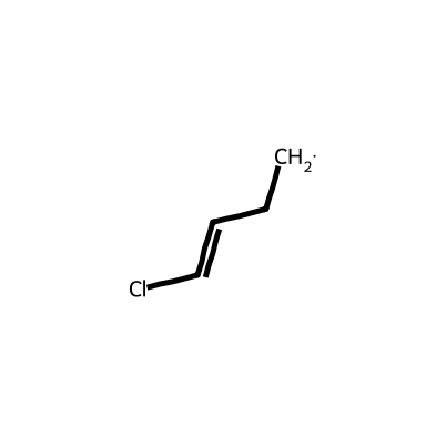 [CH2]CC=CCl